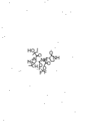 CCC(C)(O)C(=O)N1C[C@H]2[C@@H]([C@H]1C(=O)N[C@@H](C[C@@H]1CCNC1=O)C(=O)COC(F)(F)F)C2(C)C